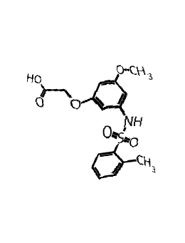 COc1cc(NS(=O)(=O)c2ccccc2C)cc(OCC(=O)O)c1